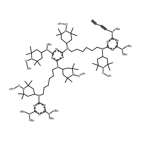 C#CC#CN(CCCC)c1nc(N(CCCC)CCCC)nc(N(CCCCCCN(c2nc(N(CCCC)C3CC(C)(C)N(OCCC)C(C)(C)C3)nc(N(CCCCCCN(c3nc(N(CCCC)CCCC)nc(N(CCCC)CCCC)n3)C3CC(C)(C)N(OCCC)C(C)(C)C3)C3CC(C)(C)N(OCCC)C(C)(C)C3)n2)C2CC(C)(C)N(OCCC)C(C)(C)C2)C2CC(C)(C)N(OCCC)C(C)(C)C2)n1